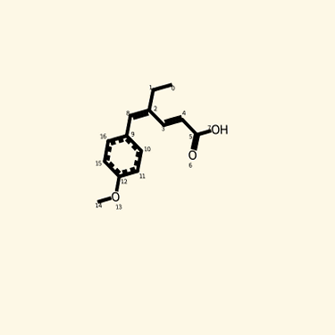 CCC(C=CC(=O)O)=Cc1ccc(OC)cc1